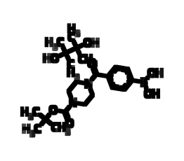 CC(C)(C)OC(=O)N1CCN(C(=O)c2ccc(B(O)O)cc2)CC1.CC(C)(O)C(C)(C)O